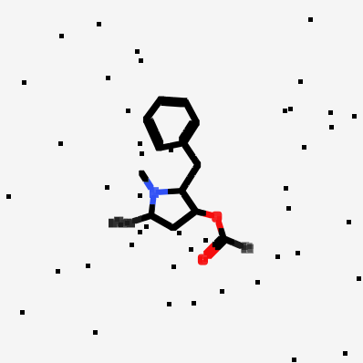 CCCCCCCCCC1CC(OC(=O)CC)C(Cc2ccccc2)N1C